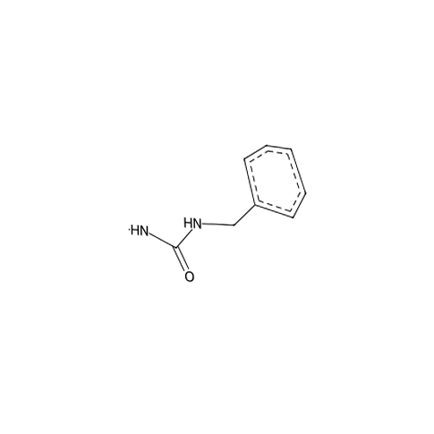 [NH]C(=O)NCc1ccccc1